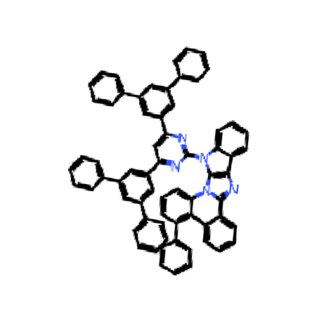 c1ccc(-c2cc(-c3ccccc3)cc(-c3cc(-c4cc(-c5ccccc5)cc(-c5ccccc5)c4)nc(-n4c5ccccc5c5nc6c7ccccc7c7c(-c8ccccc8)cccc7n6c54)n3)c2)cc1